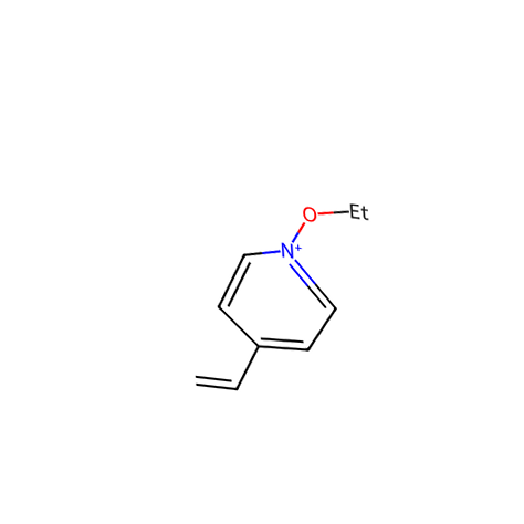 C=Cc1cc[n+](OCC)cc1